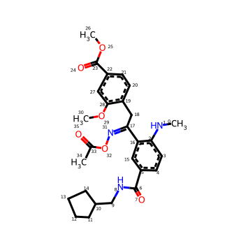 CNc1ccc(C(=O)NCC2CCCC2)cc1C(Cc1ccc(C(=O)OC)cc1OC)=NOC(C)=O